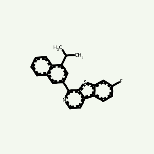 CC(C)c1cc(-c2nccc3c2sc2cc(F)ccc23)cc2ccccc12